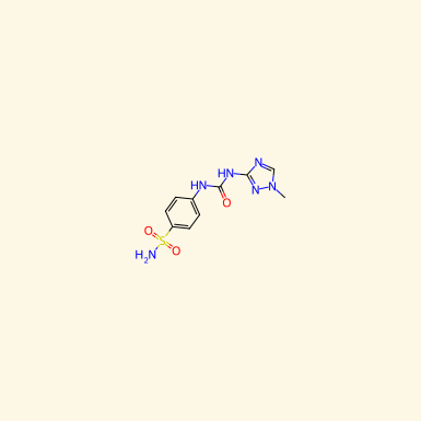 Cn1cnc(NC(=O)Nc2ccc(S(N)(=O)=O)cc2)n1